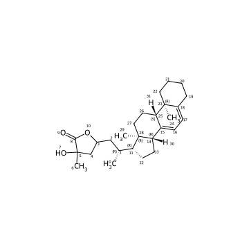 C[C@H](CC1CC(C)(O)C(=O)O1)[C@H]1CC[C@H]2C3=CC=C4CCCC[C@]4(C)[C@H]3CC[C@]12C